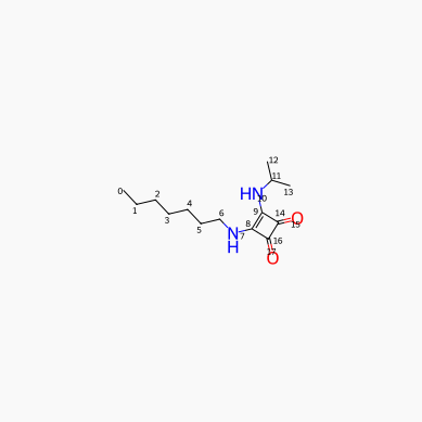 CCCCCCCNc1c(NC(C)C)c(=O)c1=O